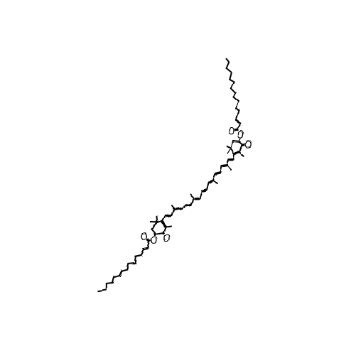 CCCCCCCCCCCCCCC(=O)OC1CC(C)(C)C(/C=C/C(C)=C/C=C/C(C)=C/C=C/C=C(C)/C=C/C=C(C)/C=C/C2=C(C)C(=O)C(OC(=O)CCCCCCCCCCCCCC)CC2(C)C)=C(C)C1=O